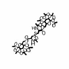 CC(=O)NC(CSSCC(NC(C)=O)C(=O)OCC1OC(OC(C)=O)C(OC(C)=O)C(OC(C)=O)C1OC(C)=O)C(=O)OCC1OC(OC(C)=O)C(OC(C)=O)C(OC(C)=O)C1OC(C)=O